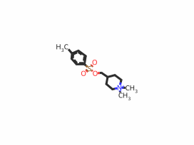 Cc1ccc(S(=O)(=O)OCC2CC[N+](C)(C)CC2)cc1